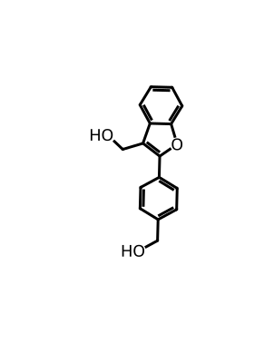 OCc1ccc(-c2oc3ccccc3c2CO)cc1